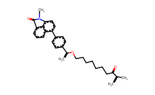 C=C(C)C(=O)CCCCCCCOC(=C)c1ccc(-c2ccc3c4c(cccc24)C(=O)N3C)cc1